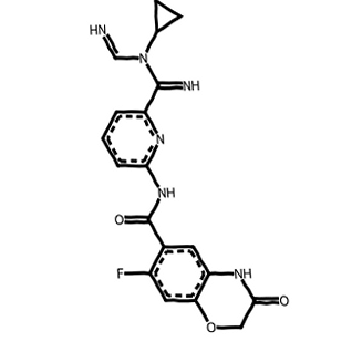 N=CN(C(=N)c1cccc(NC(=O)c2cc3c(cc2F)OCC(=O)N3)n1)C1CC1